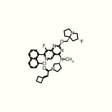 CN(c1nc(OC[C@@]23CCCN2C[C@H](F)C3)nc2c(F)c(-c3cccc4cccc(Cl)c34)ncc12)[C@@H]1CCN(C(=O)C=C2CCC2)C1